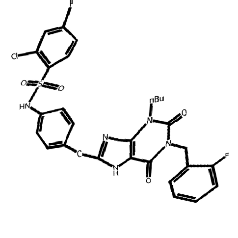 CCCCn1c(=O)n(Cc2ccccc2F)c(=O)c2[nH]c(Cc3ccc(NS(=O)(=O)c4ccc(F)cc4Cl)cc3)nc21